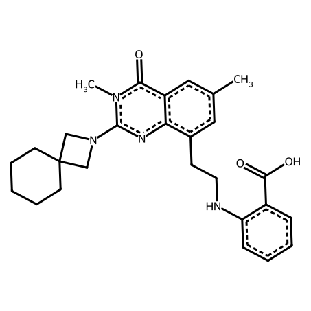 Cc1cc(CCNc2ccccc2C(=O)O)c2nc(N3CC4(CCCCC4)C3)n(C)c(=O)c2c1